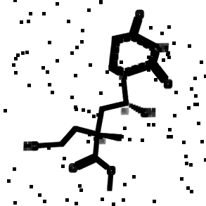 COC(=O)[C@](C)(CCO)C[C@@H](O)n1ccc(=O)[nH]c1=O